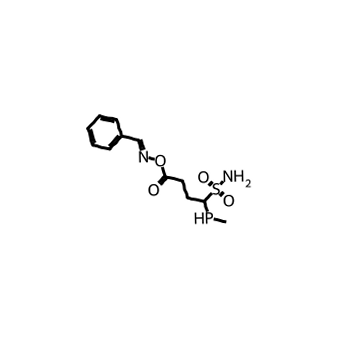 CPC(CCC(=O)ON=Cc1ccccc1)S(N)(=O)=O